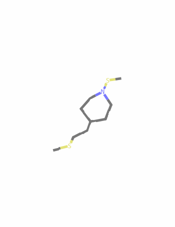 CSCCC1CCN(SC)CC1